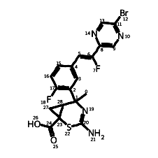 CC1(c2cc(C=C(F)c3cnc(Br)cn3)ccc2F)N=C(N)SC2(C(=O)O)CC21